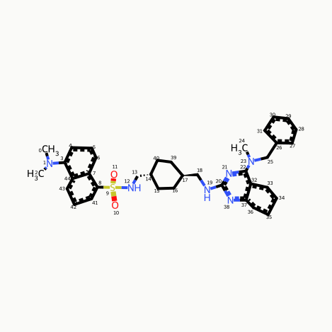 CN(C)c1cccc2c(S(=O)(=O)NC[C@H]3CC[C@H](CNc4nc(N(C)Cc5ccccc5)c5ccccc5n4)CC3)cccc12